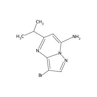 CC(C)c1cc(N)n2ncc(Br)c2n1